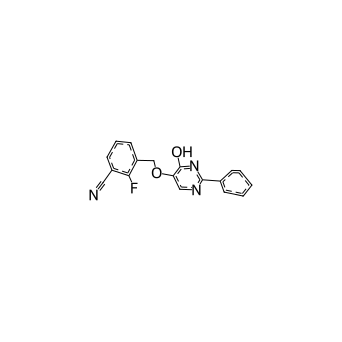 N#Cc1cccc(COc2cnc(-c3ccccc3)nc2O)c1F